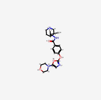 O=C(N[C@H]1CN2CCC1CC2)c1ccc(Oc2ncc(N3CCOCC3)o2)cc1